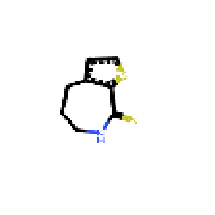 S=C1NCCCc2ccsc21